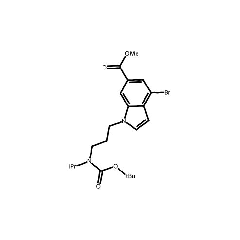 COC(=O)c1cc(Br)c2ccn(CCCN(C(=O)OC(C)(C)C)C(C)C)c2c1